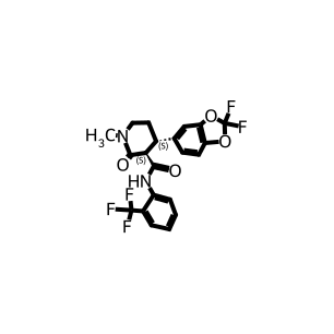 CN1CC[C@H](c2ccc3c(c2)OC(F)(F)O3)[C@@H](C(=O)Nc2ccccc2C(F)(F)F)C1=O